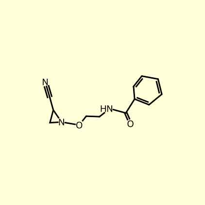 N#CC1CN1OCCNC(=O)c1ccccc1